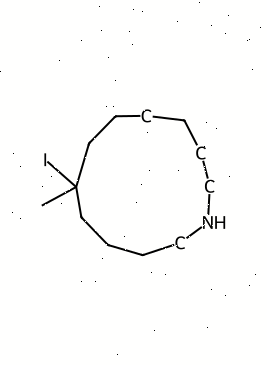 CC1(I)CCCCCCNCCCC1